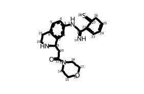 N=C(Nc1ccc2c(c1)C(CC(=O)N1CCOCC1)NCC2)C1=CC=CCC1=S